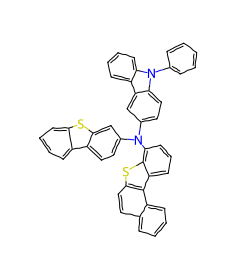 c1ccc(-n2c3ccccc3c3cc(N(c4ccc5c(c4)sc4ccccc45)c4cccc5c4sc4ccc6ccccc6c45)ccc32)cc1